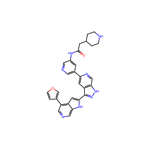 O=C(CC1CCNCC1)Nc1cncc(-c2cc3c(-c4cc5c(-c6ccoc6)cncc5[nH]4)n[nH]c3cn2)c1